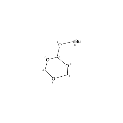 CCCCOC1OCOCO1